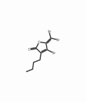 CCCCC1=C(Br)C(=C(Br)Br)OC1=O